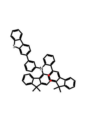 CC1(C)c2ccccc2-c2cc(-c3ccccc3N(c3cccc(-c4ccc5c(c4)sc4ccccc45)c3)c3cccc4c3-c3ccccc3C4(C)C)ccc21